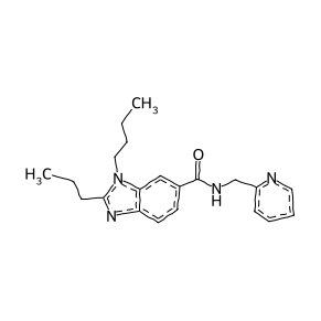 CCCCn1c(CCC)nc2ccc(C(=O)NCc3ccccn3)cc21